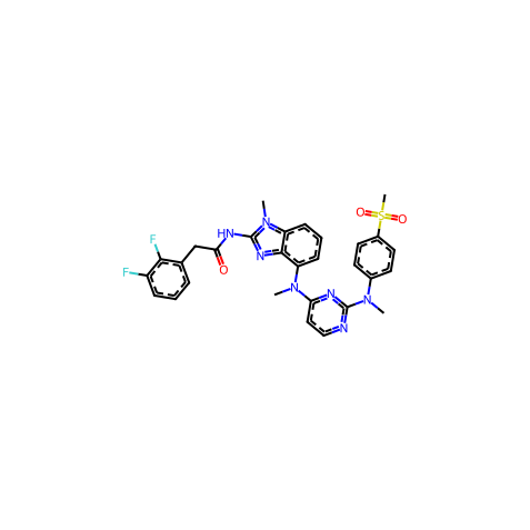 CN(c1ccc(S(C)(=O)=O)cc1)c1nccc(N(C)c2cccc3c2nc(NC(=O)Cc2cccc(F)c2F)n3C)n1